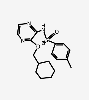 Cc1ccc(S(=O)(=O)Nc2nccnc2OCC2CCCCC2)cc1